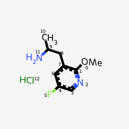 COc1ncc(F)cc1CC(C)N.Cl